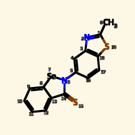 Cc1nc2cc(-n3[se]c4ccccc4c3=S)ccc2s1